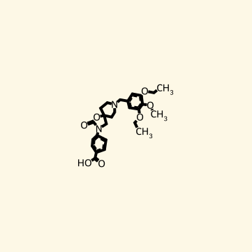 CCOc1cc(CN2CCC3(CC2)CN(c2ccc(C(=O)O)cc2)C(=O)O3)cc(OCC)c1OC